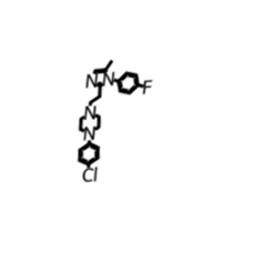 Cc1cnc(CCN2CCN(c3ccc(Cl)cc3)CC2)n1-c1ccc(F)cc1